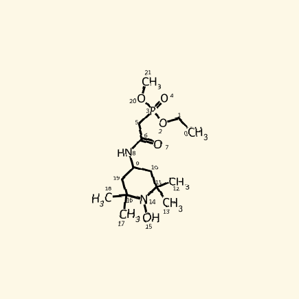 CCOP(=O)(CC(=O)NC1CC(C)(C)N(O)C(C)(C)C1)OC